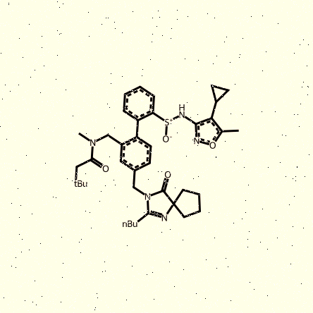 CCCCC1=NC2(CCCC2)C(=O)N1Cc1ccc(-c2ccccc2[S+]([O-])Nc2noc(C)c2C2CC2)c(CN(C)C(=O)CC(C)(C)C)c1